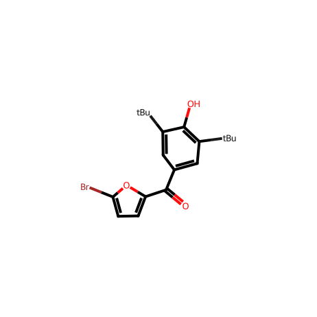 CC(C)(C)c1cc(C(=O)c2ccc(Br)o2)cc(C(C)(C)C)c1O